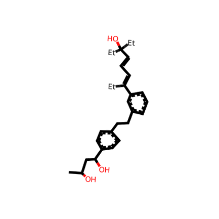 CC/C(=C\C=C\C(O)(CC)CC)c1cccc(CCc2ccc(C(O)CC(C)O)cc2)c1